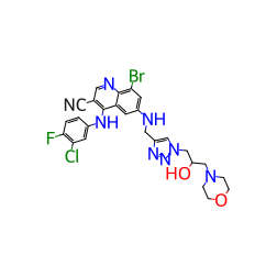 N#Cc1cnc2c(Br)cc(NCc3cn(CC(O)CN4CCOCC4)nn3)cc2c1Nc1ccc(F)c(Cl)c1